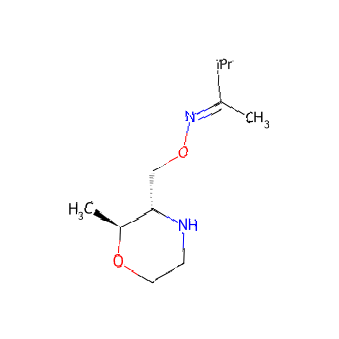 C/C(=N\OC[C@@H]1NCCO[C@H]1C)C(C)C